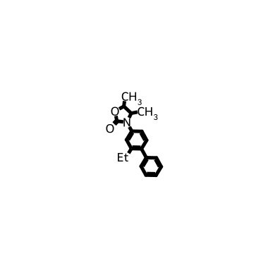 CCc1cc(N2C(=O)OC(C)C2C)ccc1-c1ccccc1